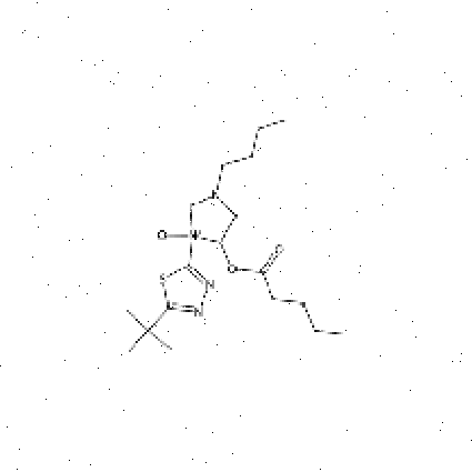 CCCCC(=O)OC1CN(CCCC)C[N+]1([O-])c1nnc(C(C)(C)C)s1